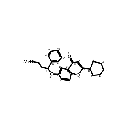 CNCCC(Oc1ccc2oc(C3CCCCC3)cc(=O)c2c1)c1ccccc1